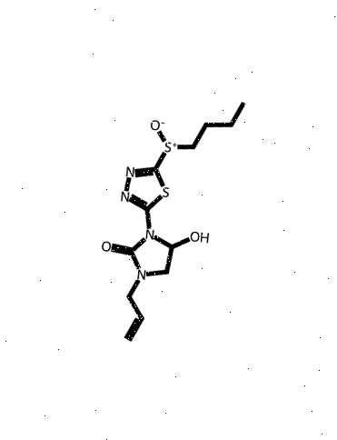 C=CCN1CC(O)N(c2nnc([S+]([O-])CCCC)s2)C1=O